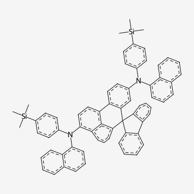 C[Si](C)(C)c1ccc(N(c2ccc3c(c2)C2(c4ccccc4-c4ccccc42)c2cccc4c(N(c5ccc([Si](C)(C)C)cc5)c5cccc6ccccc56)ccc-3c24)c2cccc3ccccc23)cc1